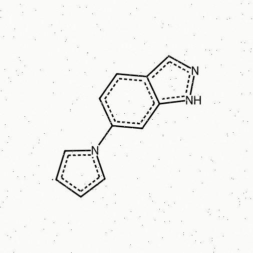 [c]1ccn(-c2ccc3cn[nH]c3c2)c1